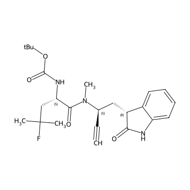 C#C[C@H](C[C@H]1C(=O)Nc2ccccc21)N(C)C(=O)[C@H](CC(C)(C)F)NC(=O)OC(C)(C)C